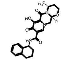 C[C@@H]1CCO[C@H]2Cn3cc(C(=O)N[C@H]4CCCc5ccccc54)c(=O)c(O)c3C(=O)N12